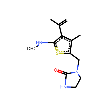 C=C(C)c1c(NC=O)sc(CN2CCNC2=O)c1C